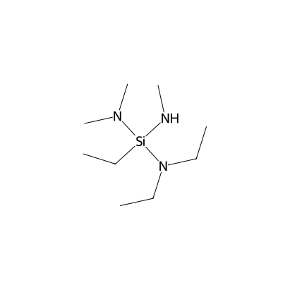 CCN(CC)[Si](CC)(NC)N(C)C